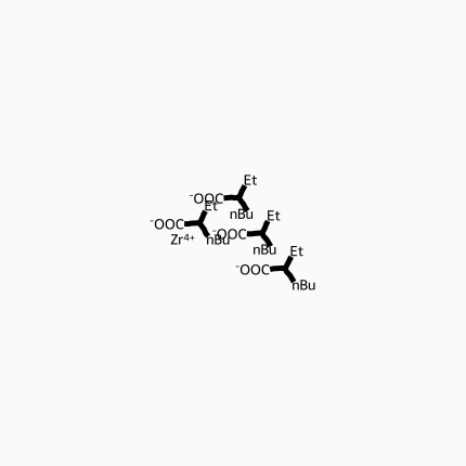 CCCCC(CC)C(=O)[O-].CCCCC(CC)C(=O)[O-].CCCCC(CC)C(=O)[O-].CCCCC(CC)C(=O)[O-].[Zr+4]